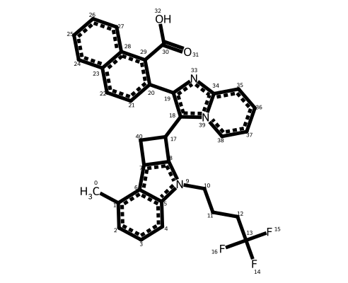 Cc1cccc2c1c1c(n2CCCC(F)(F)F)C(c2c(-c3ccc4ccccc4c3C(=O)O)nc3ccccn23)C1